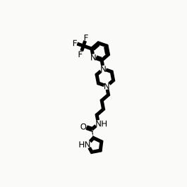 O=C(NCCCCN1CCN(c2cccc(C(F)(F)F)n2)CC1)[C@@H]1CCCN1